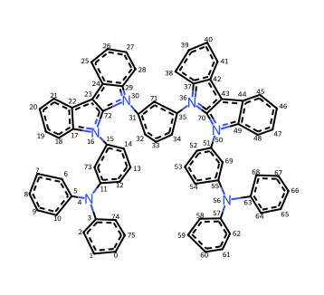 c1ccc(N(c2ccccc2)c2cccc(-n3c4ccccc4c4c5ccccc5n(-c5cccc(-n6c7ccccc7c7c8ccccc8n(-c8cccc(N(c9ccccc9)c9ccccc9)c8)c76)c5)c43)c2)cc1